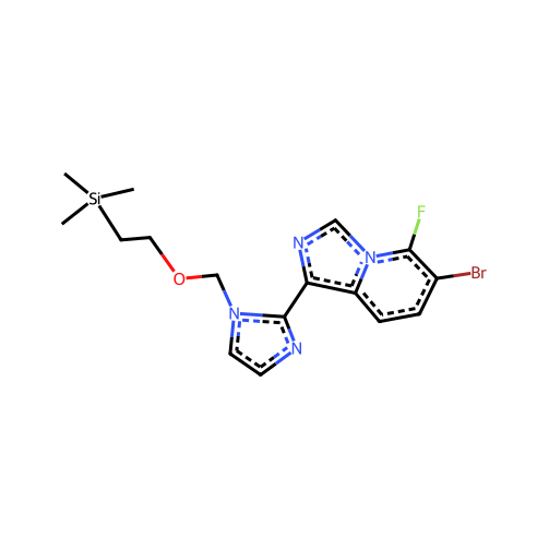 C[Si](C)(C)CCOCn1ccnc1-c1ncn2c(F)c(Br)ccc12